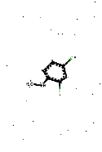 CBc1ccc(Cl)cc1F